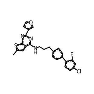 Cc1cc2c(NCCCc3ccc(-c4ccc(Cl)cc4F)cc3)nc(-c3ccoc3)nc2s1